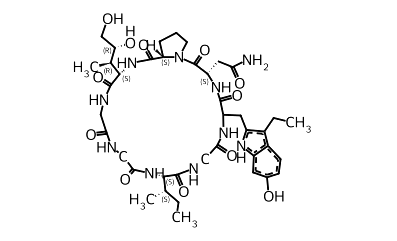 CCc1c(CC2NC(=O)CNC(=O)[C@H]([C@@H](C)CC)NC(=O)CNC(=O)CNC(=O)[C@H]([C@@H](C)[C@@H](O)CO)NC(=O)[C@@H]3CCCN3C(=O)[C@H](CC(N)=O)NC2=O)[nH]c2cc(O)ccc12